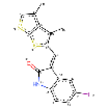 Cc1csc2sc(C=C3C(=O)Nc4ccc(I)cc43)c(C)c12